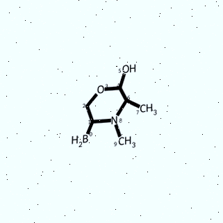 BC1COC(O)C(C)N1C